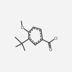 COc1ccc(C(=O)Cl)cc1C(C)(C)C